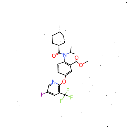 COC(=O)c1cc(Oc2ncc(I)cc2C(F)(F)F)ccc1N(C(=O)[C@H]1CC[C@H](C)CC1)C(C)C